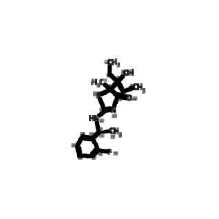 CCC(O)(CC)C1(C)SC(N[C@@H](C)c2ccccc2F)=NC1=O